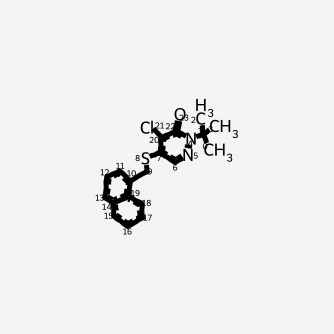 CC(C)(C)n1ncc(SCc2cccc3ccccc23)c(Cl)c1=O